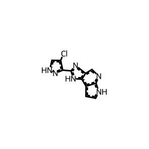 Clc1c[nH]nc1-c1nc2cnc3[nH]ccc3c2[nH]1